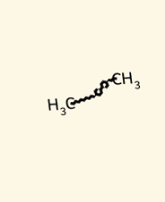 CCCCCCCCCC[C@H]1CC[C@H]([C@H]2CC[C@H](CCCC)CC2)CC1